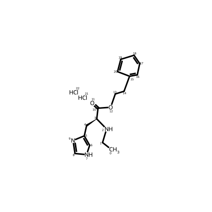 CCN[C@@H](Cc1c[nH]cn1)C(=O)OCCc1ccccc1.Cl.Cl